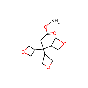 O=C(CC(C1COC1)(C1COC1)C1COC1)O[SiH3]